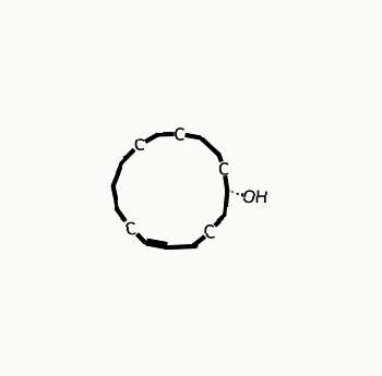 O[C@@H]1CCCC=CCCCCCCCCCC1